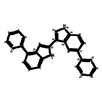 c1ccc(-c2cccc3[nH]c(-c4n[nH]c5ccc(-c6cnccn6)cc45)cc23)nc1